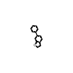 [c]1ccc(-c2ccc3ccoc3c2)cc1